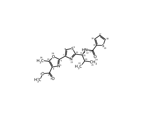 COC(=O)c1nc(-c2csc([C@@H](NC(=O)c3cccs3)C(C)C)n2)oc1C